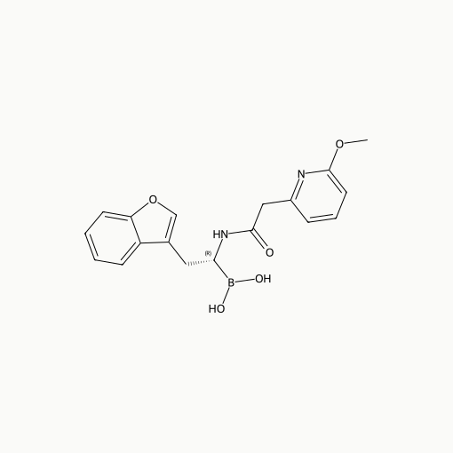 COc1cccc(CC(=O)N[C@@H](Cc2coc3ccccc23)B(O)O)n1